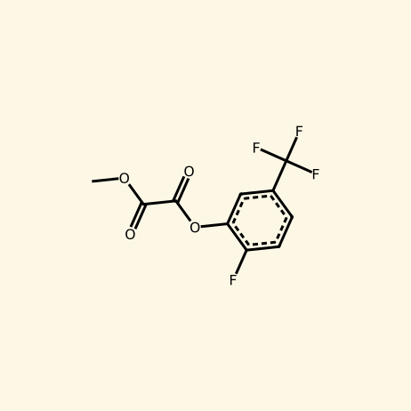 COC(=O)C(=O)Oc1cc(C(F)(F)F)ccc1F